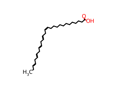 CCC=CCC=CCC=CCC=CC/C=C\CCCCCCCCCCCC(=O)O